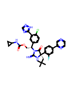 CC(C)(C)C[C@]1(c2ccc(-c3cnccn3)cc2F)NC(=N)N([C@H](COC(=O)NC2CC2)c2ccc(Cl)c(-c3ncn[nH]3)c2)C1=O